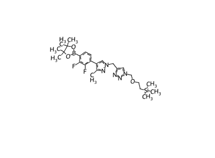 Cc1nn(Cc2cn(COCC[Si](C)(C)C)nn2)cc1-c1ccc(B2OC(C)(C)C(C)(C)O2)c(F)c1F